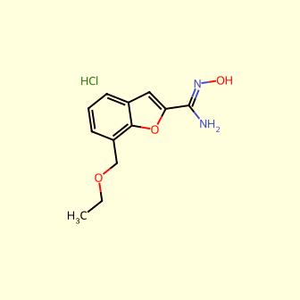 CCOCc1cccc2cc(C(N)=NO)oc12.Cl